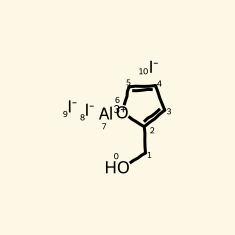 OCc1ccco1.[Al+3].[I-].[I-].[I-]